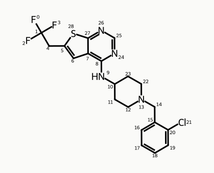 FC(F)(F)Cc1cc2c(NC3CCN(Cc4ccccc4Cl)CC3)ncnc2s1